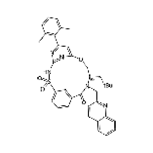 Cc1cccc(C)c1-c1cc2nc(n1)NS(=O)(=O)c1cccc(c1)C(=O)N(Cc1ccc3ccccc3n1)[C@H](CC(C)(C)C)CO2